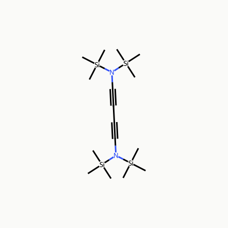 C[Si](C)(C)N(C#CC#CN([Si](C)(C)C)[Si](C)(C)C)[Si](C)(C)C